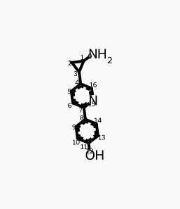 NC1CC1c1ccc(-c2ccc(O)cc2)nc1